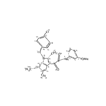 COc1cc(NC(=O)C(=O)c2c(C)n(Cc3ccc(Cl)cc3)c3cc(C)c(C)cc23)ccn1